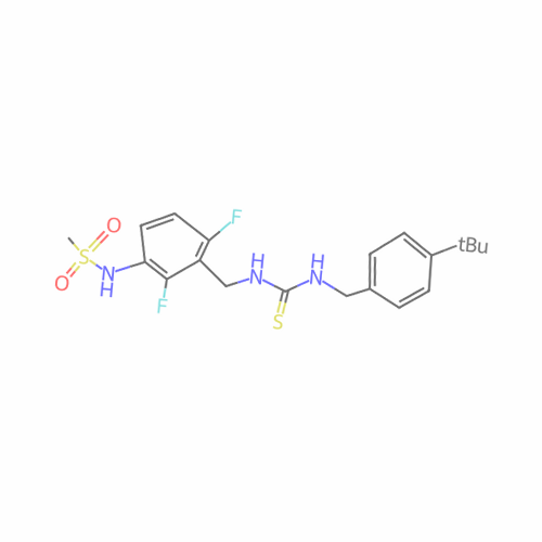 CC(C)(C)c1ccc(CNC(=S)NCc2c(F)ccc(NS(C)(=O)=O)c2F)cc1